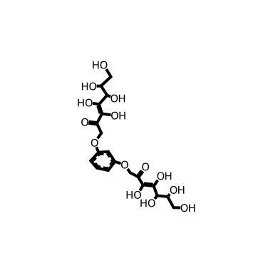 O=C(COc1cccc(OCC(=O)/C(O)=C(\O)C(O)C(O)CO)c1)/C(O)=C(\O)C(O)C(O)CO